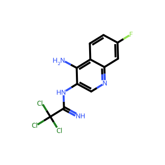 N=C(Nc1cnc2cc(F)ccc2c1N)C(Cl)(Cl)Cl